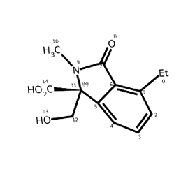 CCc1cccc2c1C(=O)N(C)[C@]2(CO)C(=O)O